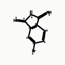 N=C1NC(=N)c2cc(Br)ccc21